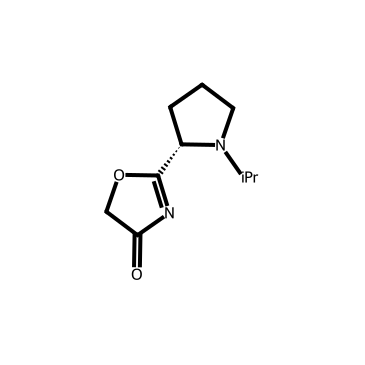 CC(C)N1CCC[C@H]1C1=NC(=O)CO1